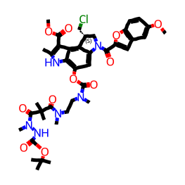 COC(=O)c1c(C)[nH]c2c(OC(=O)N(C)CCN(C)C(=O)C(C)(C)C(=O)N(C)NC(=O)OC(C)(C)C)cc3c(c12)[C@H](CCl)CN3C(=O)c1cc2cc(OC)ccc2o1